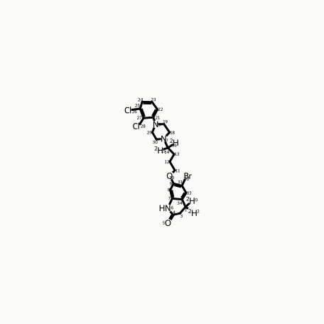 [2H]C1([2H])CC(=O)Nc2cc(OCCCC([2H])([2H])N3CCN(c4cccc(Cl)c4Cl)CC3)c(Br)cc21